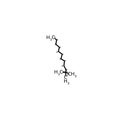 C[CH]CCCCCCCCC(C)(C)C